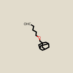 O=CCCCCOCC12CC3CC(CC(C3)C1)C2